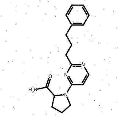 NC(=O)C1CCCN1c1ccnc(CCCc2ccccc2)n1